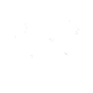 CC(C)Cc1nc2ccc(O)cc2c(-c2cccc(F)c2)c1C#N